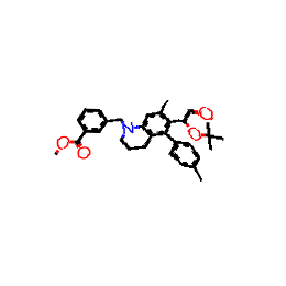 COC(=O)c1cccc(CN2CCCc3c2cc(C)c(C(C=O)OC(C)(C)C)c3-c2ccc(C)cc2)c1